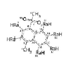 Cc1[c]([RaH])[c]([RaH])c(S(C)(=O)=O)c2[c]([RaH])[c]([RaH])[c]([RaH])[c]([RaH])c12